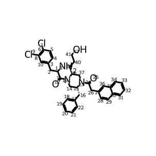 NC(Cc1ccc(Cl)c(Cl)c1)C(=O)N1C[C@@H](Cc2ccccc2)N(C(=O)Cc2ccc3ccccc3c2)C[C@@H]1CCCO